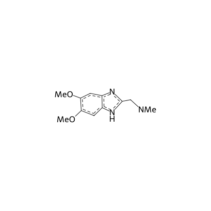 CNCc1nc2cc(OC)c(OC)cc2[nH]1